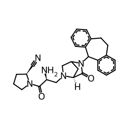 N#C[C@@H]1CCCN1C(=O)[C@@H](N)CN1CC2C[C@H]1C(=O)N2C1c2ccccc2CCc2ccccc21